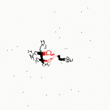 CC(C)(C)CCB1OC(C)(C)C(C)(C)O1